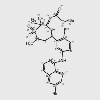 CN1CC(c2cc(Nc3nccc4cc(Br)cnc34)ccc2F)NC(=NC(=O)OC(C)(C)C)C(C)(C)S1(=O)=O